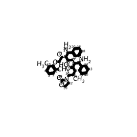 Cc1cccc(C)c1OCC(=O)[C@@H]([C@H](N)c1ccccc1)[C@@H](O)C[C@H](C(=O)CC(C)CN1CCOC1=O)[C@H](N)c1ccccc1